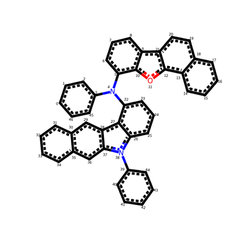 c1ccc(N(c2cccc3c2oc2c4ccccc4ccc32)c2cccc3c2c2cc4ccccc4cc2n3-c2ccccc2)cc1